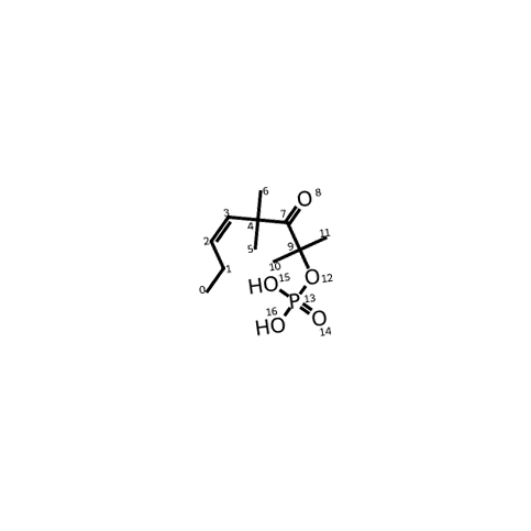 CC/C=C\C(C)(C)C(=O)C(C)(C)OP(=O)(O)O